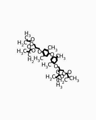 C=C(C)C(=O)OCC(COc1cc(C)c(Oc2cc(C)c(OCC(COC(=O)C(=C)C)OC(=O)C(=C)C)cc2C)cc1C)OC(=O)C(=C)C